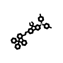 CCC1(CC)c2cc(/C=C/c3cccc4c3-c3ccccc3C4(c3ccccc3)c3ccccc3)ccc2-c2ccc(N(c3ccc(C)cc3)c3ccc(C)cc3)cc21